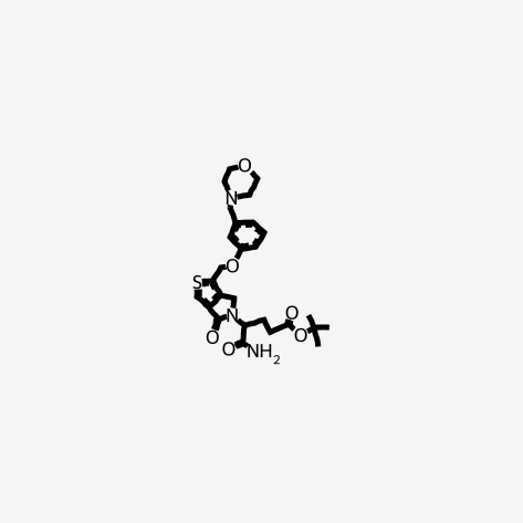 CC(C)(C)OC(=O)CCC(C(N)=O)N1Cc2c(csc2COc2cccc(CN3CCOCC3)c2)C1=O